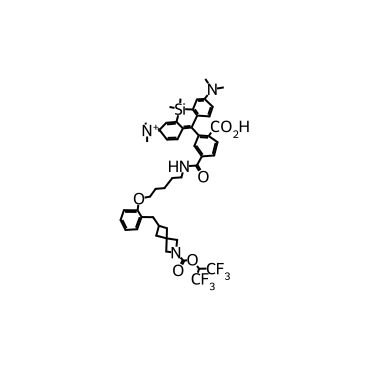 CN(C)c1ccc2c(c1)[Si](C)(C)C1=CC(=[N+](C)C)C=CC1=C2c1cc(C(=O)NCCCCCOc2ccccc2CC2CC3(C2)CN(C(=O)OC(C(F)(F)F)C(F)(F)F)C3)ccc1C(=O)O